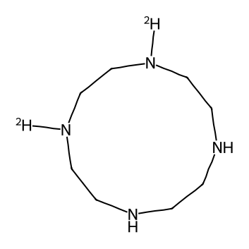 [2H]N1CCNCCNCCN([2H])CC1